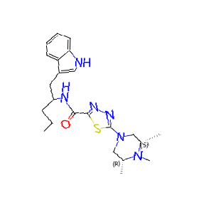 CCCC(Cc1c[nH]c2ccccc12)NC(=O)c1nnc(N2C[C@@H](C)N(C)[C@@H](C)C2)s1